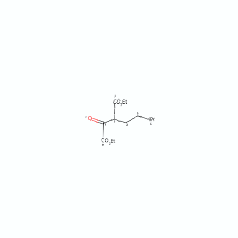 CCOC(=O)C(=O)C(CCC(C)C)C(=O)OCC